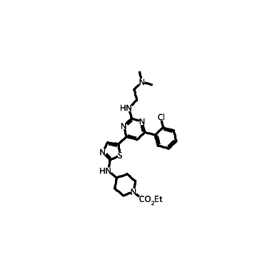 CCOC(=O)N1CCC(Nc2ncc(-c3cc(-c4ccccc4Cl)nc(NCCN(C)C)n3)s2)CC1